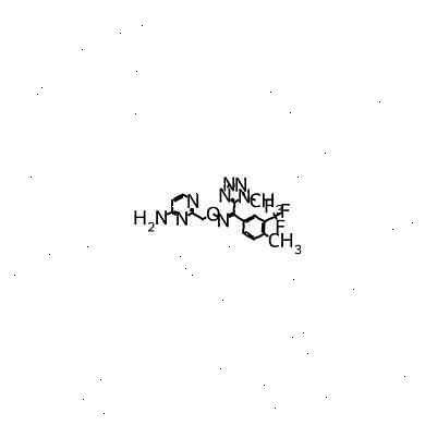 Cc1ccc(C(=NOCc2nccc(N)n2)c2nnnn2C)cc1C(F)(F)F